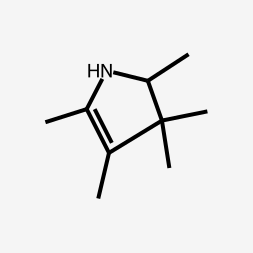 CC1=C(C)C(C)(C)C(C)N1